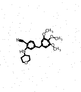 COc1cc(Cc2ccc(C#N)c(NC3CCOCC3)c2)cc(OC)c1OC